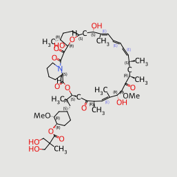 CO[C@@H]1C[C@H](C[C@@H](C)[C@@H]2CC(=O)[C@H](C)/C=C(\C)[C@@H](O)[C@@H](OC)C(=O)[C@H](C)C[C@H](C)/C=C/C=C/C=C(\C)[C@@H](O)C[C@@H]3CC[C@@H](C)[C@@](O)(O3)C(=O)C(=O)N3CCCC[C@H]3C(=O)O2)CC[C@H]1OC(=O)C(C)(CO)CO